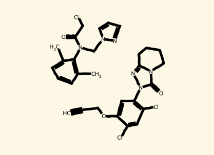 C#CCOc1cc(-n2nc3n(c2=O)CCCC3)c(Cl)cc1Cl.Cc1cccc(C)c1N(Cn1cccn1)C(=O)CCl